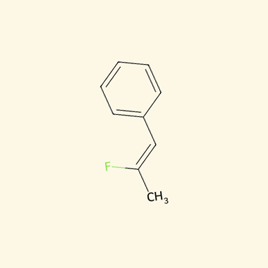 CC(F)=Cc1ccccc1